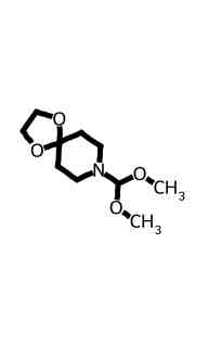 COC(OC)N1CCC2(CC1)OCCO2